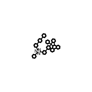 c1ccc(-c2ccc(-c3cccc(-c4nc(-c5ccccc5)nc(-c5cccc(-c6ccc(C7(c8ccccc8)c8ccccc8-c8c7c7ccccc7c7ccccc87)cc6)c5)n4)c3)cc2)cc1